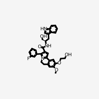 COc1cc2c(cc1OCCO)-c1cc(C(=O)N[C@@H](CO)Cc3c[nH]c4ccccc34)c(-c3cccc(F)c3)n1CC2